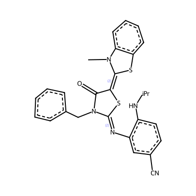 CC(C)Nc1ccc(C#N)cc1/N=C1\S/C(=C2\Sc3ccccc3N2C)C(=O)N1Cc1ccccc1